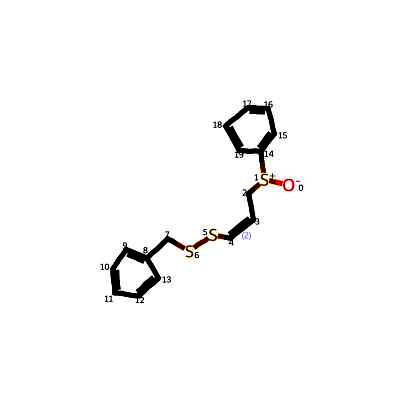 [O-][S+](C/C=C\SSCc1ccccc1)c1ccccc1